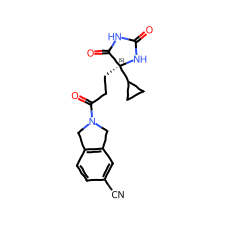 N#Cc1ccc2c(c1)CN(C(=O)CC[C@@]1(C3CC3)NC(=O)NC1=O)C2